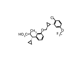 C[C@H](C(=O)O)[C@H](c1cccc(OC[C@H]2C[C@@H]2c2cc(OC(F)(F)F)ccc2Cl)c1)C1CC1